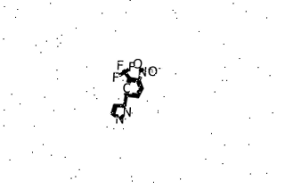 O=[N+]([O-])c1ccc(C2=N[N]C=C2)cc1C(F)(F)F